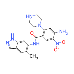 Cc1cc2cn[nH]c2cc1NC(=O)c1cc([N+](=O)[O-])c(N)cc1N1CCNCC1